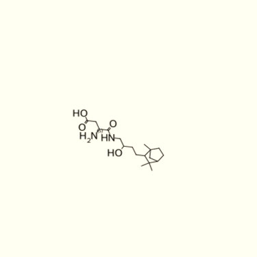 CC12CCC(C1)C(C)(C)C2CCC(O)CNC(=O)[C@@H](N)CC(=O)O